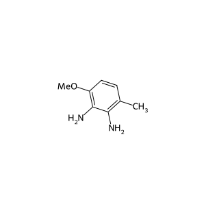 COc1ccc(C)c(N)c1N